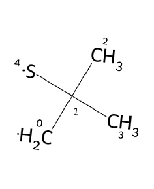 [CH2]C(C)(C)[S]